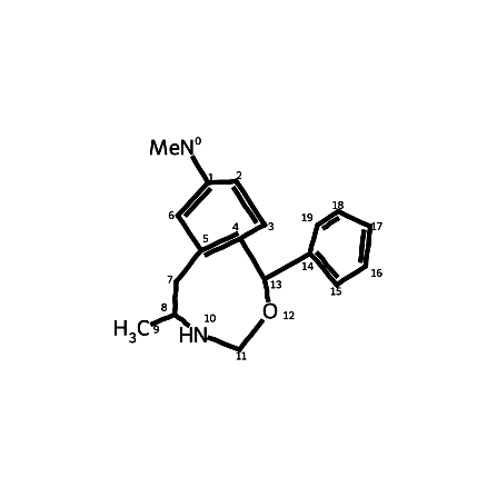 CNc1ccc2c(c1)CC(C)NCOC2c1ccccc1